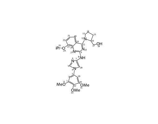 COc1cc(-n2cnc(Nc3nc(N4CCCC4CO)c4cccc(OC(C)C)c4n3)c2)cc(OC)c1OC